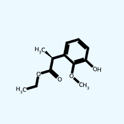 CCOC(=O)[C@@H](C)c1cccc(O)c1OC